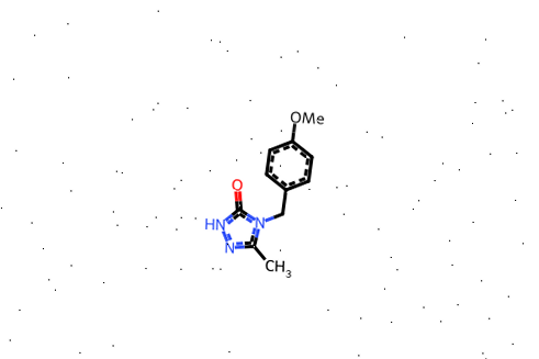 COc1ccc(Cn2c(C)n[nH]c2=O)cc1